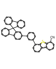 N#Cc1cccc2c1sc1c(-c3cccc(-c4ccc5c(c4)C4(c6ccccc6-c6ccccc64)c4ccccc4-5)c3)cccc12